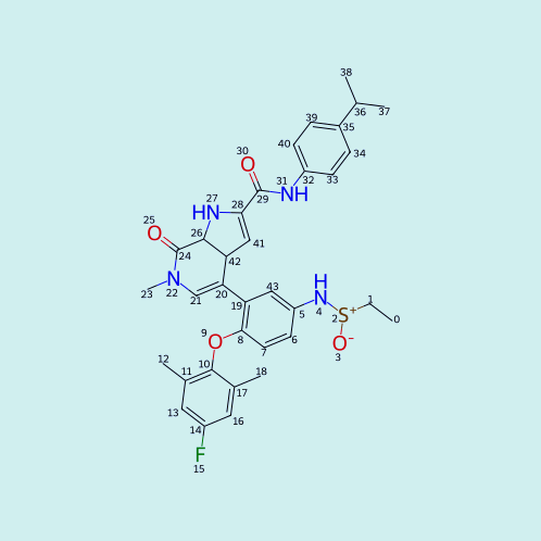 CC[S+]([O-])Nc1ccc(Oc2c(C)cc(F)cc2C)c(C2=CN(C)C(=O)C3NC(C(=O)Nc4ccc(C(C)C)cc4)=CC23)c1